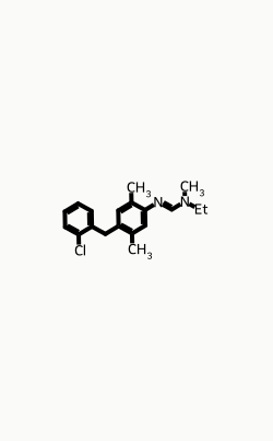 CCN(C)C=Nc1cc(C)c(Cc2ccccc2Cl)cc1C